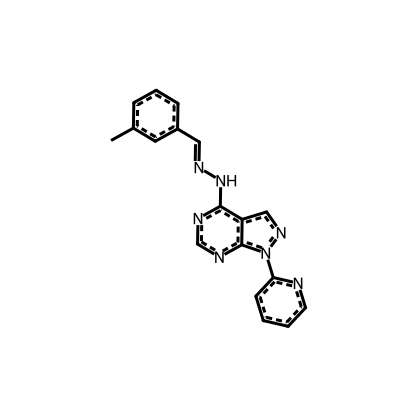 Cc1cccc(C=NNc2ncnc3c2cnn3-c2ccccn2)c1